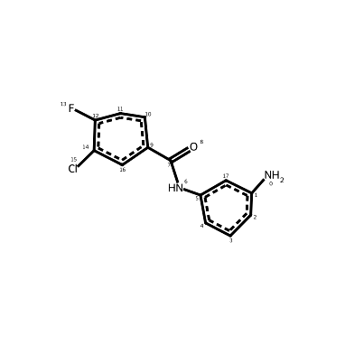 Nc1cccc(NC(=O)c2ccc(F)c(Cl)c2)c1